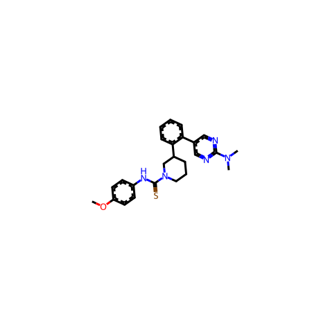 COc1ccc(NC(=S)N2CCCC(c3ccccc3-c3cnc(N(C)C)nc3)C2)cc1